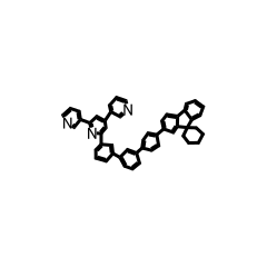 c1cncc(-c2cc(-c3cccnc3)nc(-c3cccc(-c4cccc(-c5ccc(-c6ccc7c(c6)C6(CCCCC6)c6ccccc6-7)cc5)c4)c3)c2)c1